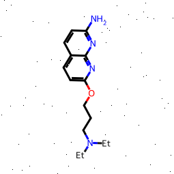 CCN(CC)CCCOc1ccc2ccc(N)nc2n1